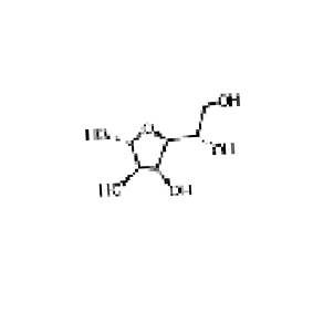 OC[C@H](O)[C@@H]1O[C@@H](O)[C@H](O)[C@@H]1O